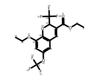 CCOC(=O)C1=Cc2cc(OC(F)(F)F)cc(OCC)c2OC1C(F)(F)F